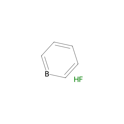 F.b1ccccc1